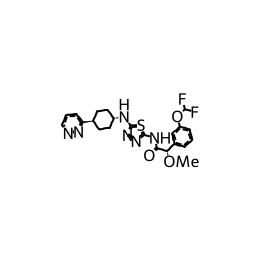 CO[C@H](C(=O)Nc1nnc(N[C@H]2CC[C@H](c3cccnn3)CC2)s1)c1cccc(OC(F)F)c1